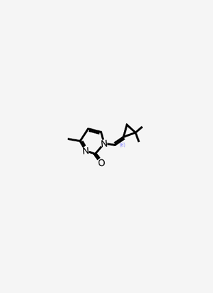 Cc1ccn(/C=C2\CC2(C)C)c(=O)n1